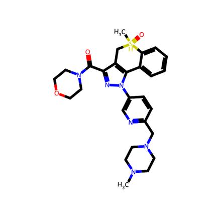 CN1CCN(Cc2ccc(-n3nc(C(=O)N4CCOCC4)c4c3-c3ccccc3[SH](C)(=O)C4)cn2)CC1